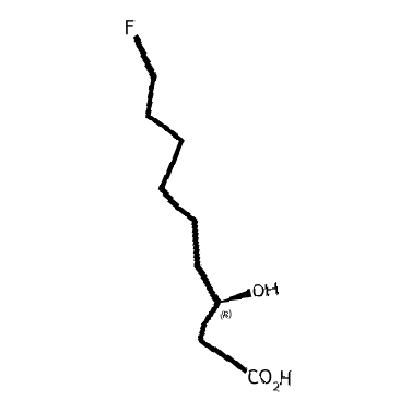 O=C(O)C[C@H](O)CCCCCCF